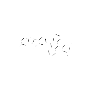 Cc1cc(C)cc(-c2c3ccccc3c(-c3ccc4c(c3)C(C)(C)c3c-4oc4ccc(C)cc34)c3ccccc23)c1